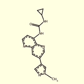 Cn1cc(-c2cnc3c(NC(=O)NC4CC4)ccnc3c2)cn1